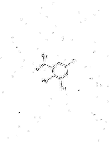 O=C(O)c1cc(Cl)cc(O)c1O